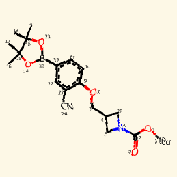 CC(C)(C)OC(=O)N1CC(COc2ccc(B3OC(C)(C)C(C)(C)O3)cc2C#N)C1